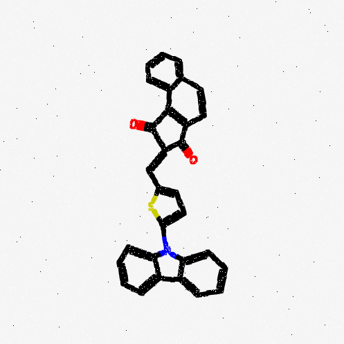 O=C1/C(=C\c2ccc(-n3c4ccccc4c4ccccc43)s2)C(=O)c2c1ccc1ccccc21